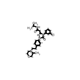 CC(C)NC(=O)Cc1nn(-c2ccc(CCN3CCOCC3C)cc2)c(=O)n1-c1cccc(Cl)c1